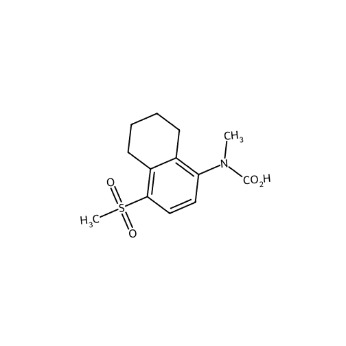 CN(C(=O)O)c1ccc(S(C)(=O)=O)c2c1CCCC2